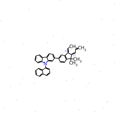 C=C/C=C1\C(=C/C)c2cc(-c3ccc4c5ccccc5n(-c5cccc6ccccc56)c4c3)ccc2C1(C)C